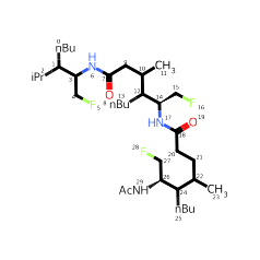 CCCCC(C(C)C)C(CF)NC(=O)CC(C)C(CCCC)[C@@H](CF)NC(=O)CCC(C)C(CCCC)[C@H](CF)NC(C)=O